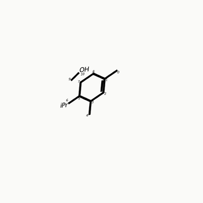 CC1=CC(C)C(C(C)C)CC1.CO